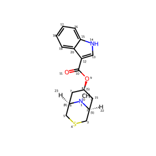 CN1[C@@H]2CSC[C@H]1C[C@@H](OC(=O)c1c[nH]c3ccccc13)C2